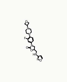 O=C1OC(CNc2ccon2)CN1c1ccc(N2CCN(C3COC3)CC2)c(F)c1